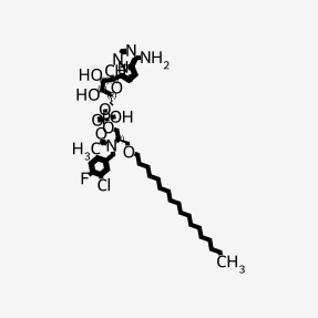 CCCCCCCCCCCCCCCCCCOC[C@H](COP(=O)(O)OC[C@H]1O[C@@](C)(c2ccc3c(N)ncnn23)[C@H](O)[C@@H]1O)N(Cc1ccc(F)c(Cl)c1)C(C)=O